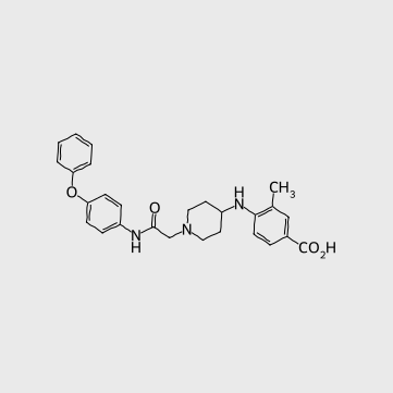 Cc1cc(C(=O)O)ccc1NC1CCN(CC(=O)Nc2ccc(Oc3ccccc3)cc2)CC1